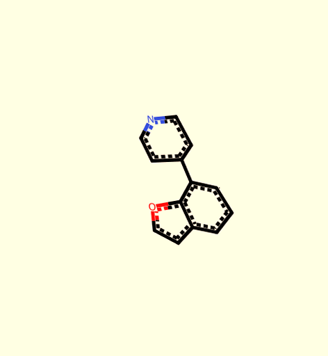 [c]1ccc2ccoc2c1-c1ccncc1